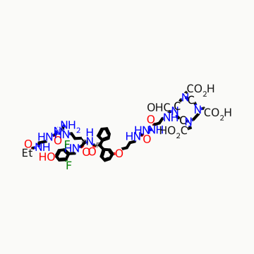 CCC(=O)NCCNC(=O)/N=C(/N)NCCC[C@@H](NC(=O)[C@H](c1ccccc1)c1cccc(OCCCCNC(=O)NNC(=O)CCNC(C=O)N2CCN(CC(=O)O)CCN(CC(=O)O)CCN(CC(=O)O)CC2)c1)C(=O)NCc1c(F)cc(O)cc1F